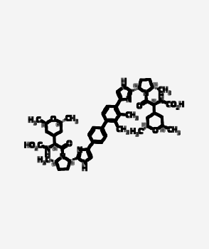 Cc1c(-c2ccc(-c3c[nH]c([C@@H]4CC[C@H](C)N4C(=O)[C@@H](NC(=O)O)C4C[C@@H](C)O[C@H](C)C4)n3)cc2)ccc(-c2c[nH]c([C@@H]3CC[C@H](C)N3C(=O)[C@@H](NC(=O)O)C3C[C@@H](C)O[C@H](C)C3)n2)c1C